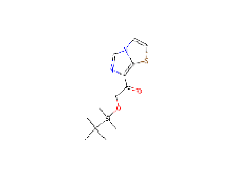 CC(C)(C)[Si](C)(C)OCC(=O)c1ncn2ccsc12